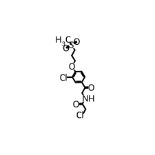 CS(=O)(=O)CCCOc1ccc(C(=O)CNC(=O)CCl)cc1Cl